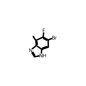 Cc1c(F)c(Br)cc2[nH]cnc12